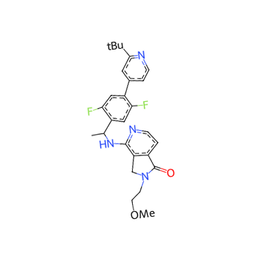 COCCN1Cc2c(ccnc2NC(C)c2cc(F)c(-c3ccnc(C(C)(C)C)c3)cc2F)C1=O